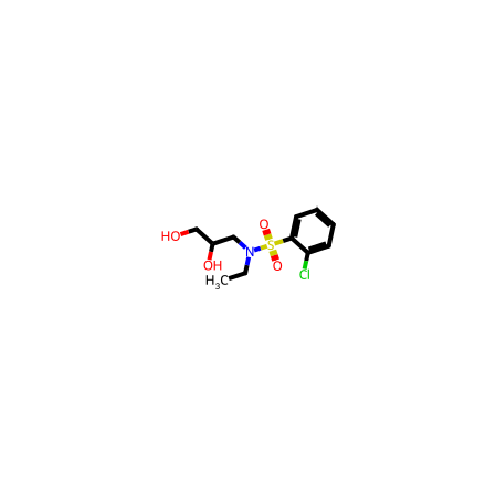 CCN(CC(O)CO)S(=O)(=O)c1c[c]ccc1Cl